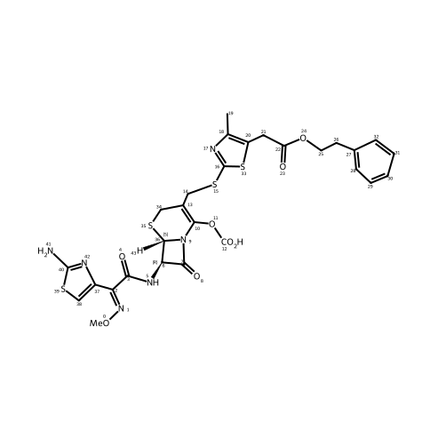 CON=C(C(=O)N[C@@H]1C(=O)N2C(OC(=O)O)=C(CSc3nc(C)c(CC(=O)OCCc4ccccc4)s3)CS[C@@H]12)c1csc(N)n1